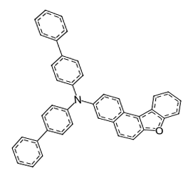 c1ccc(-c2ccc(N(c3ccc(-c4ccccc4)cc3)c3ccc4c(ccc5oc6ccccc6c54)c3)cc2)cc1